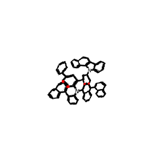 c1ccc(-c2ccc(N(c3ccccc3-c3cccc4ccccc34)c3ccc(-c4cccc5ccccc45)c4ccccc34)c(-c3cccc(-n4c5ccccc5c5ccc6ccccc6c54)c3)c2)cc1